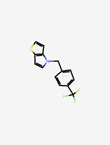 FC(F)(F)c1ccc(Cn2ccc3sccc32)cc1